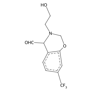 O=CC1c2ccc(C(F)(F)F)cc2OCN1CCO